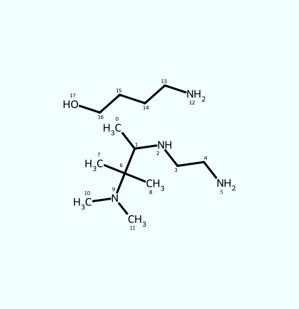 CC(NCCN)C(C)(C)N(C)C.NCCCCO